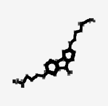 CNCCCOc1ccc2c(c1)-c1ccc(OCCCNC)cc1C2O